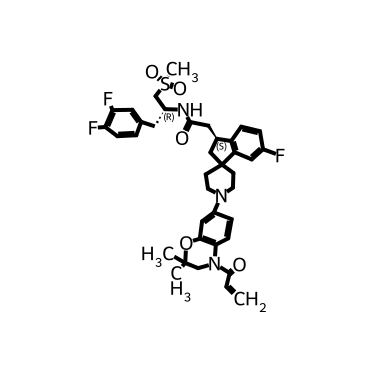 C=CC(=O)N1CC(C)(C)Oc2cc(N3CCC4(CC3)C[C@@H](CC(=O)N[C@H](Cc3ccc(F)c(F)c3)CS(C)(=O)=O)c3ccc(F)cc34)ccc21